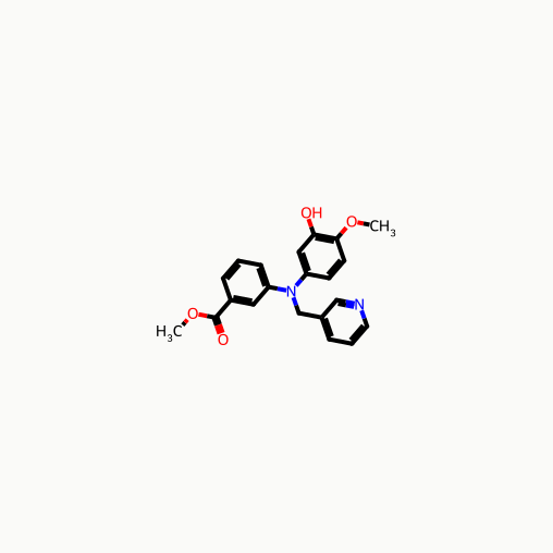 COC(=O)c1cccc(N(Cc2cccnc2)c2ccc(OC)c(O)c2)c1